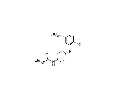 CCOC(=O)c1ccc(Cl)c(N[C@H]2CC[C@@H](NC(=O)OC(C)(C)C)CC2)c1